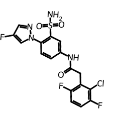 NS(=O)(=O)c1cc(NC(=O)Cc2c(F)ccc(F)c2Cl)ccc1-n1cc(F)cn1